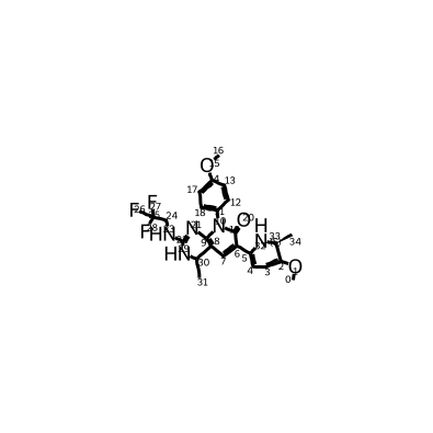 COC1=CC=C(c2cc3c(n(-c4ccc(OC)cc4)c2=O)N=C(NCC(F)(F)F)NC3C)N[C@H]1C